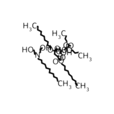 CCCCCCCCCCCCN(CCO)CCO.CCCCCCCCCCOC(=O)CC(C(=O)OCCCCCCCCCC)S(=O)(=O)O.CCCCOP(=O)(O)OCCCC